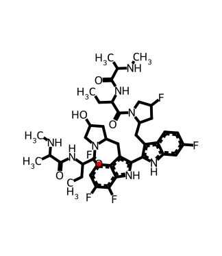 CCC(NC(=O)C(C)NC)C(=O)N1CC(O)CC1Cc1c(-c2[nH]c3cc(F)ccc3c2CC2CC(F)CN2C(=O)C(CC)NC(=O)C(C)NC)[nH]c2c(F)c(F)cc(F)c12